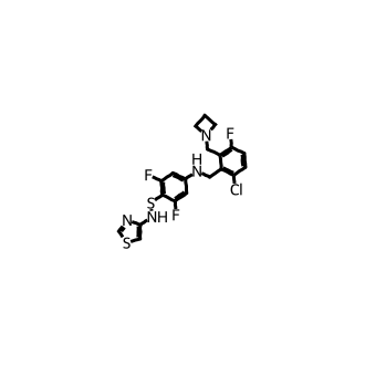 Fc1ccc(Cl)c(CNc2cc(F)c(SNc3cscn3)c(F)c2)c1CN1CCC1